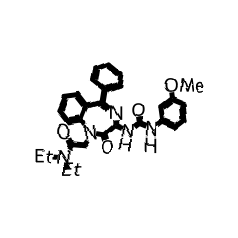 CCN(CC)C(=O)CN1C(=O)C(NC(=O)Nc2cccc(OC)c2)N=C(c2ccccc2)c2ccccc21